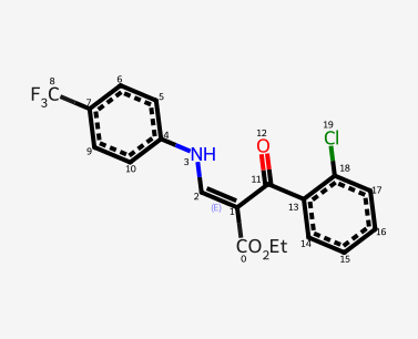 CCOC(=O)/C(=C/Nc1ccc(C(F)(F)F)cc1)C(=O)c1ccccc1Cl